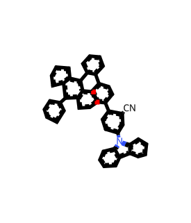 N#Cc1cc(-n2c3ccccc3c3ccccc32)ccc1-c1ccc(-c2ccccc2-c2c3ccccc3c(-c3ccccc3)c3ccccc23)cc1